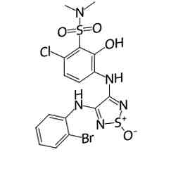 CN(C)S(=O)(=O)c1c(Cl)ccc(Nc2n[s+]([O-])nc2Nc2ccccc2Br)c1O